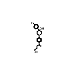 O=C(CCCO)c1ccc(N2CCC(O)(c3ccc(Cl)cc3)CC2)cc1